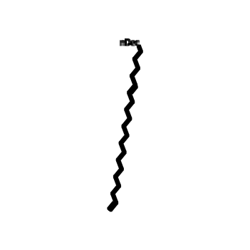 C=CCCCCCCCCCCCCC=CCCCCCCCCCCCCCC